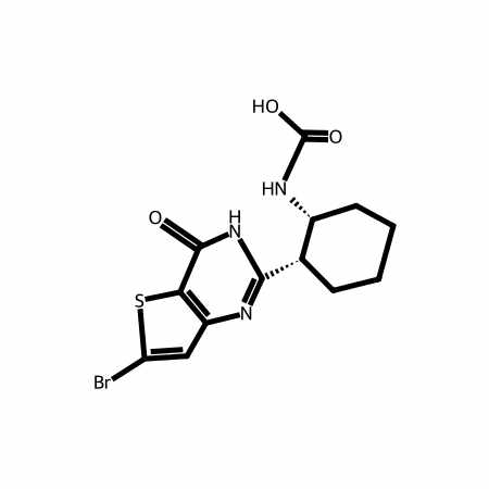 O=C(O)N[C@@H]1CCCC[C@@H]1c1nc2cc(Br)sc2c(=O)[nH]1